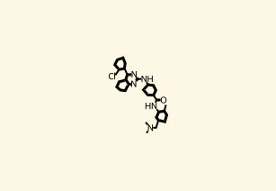 Cc1ccc(CN(C)C)cc1NC(=O)c1ccc(Nc2nc(-c3ccccc3Cl)c3ccccc3n2)cc1